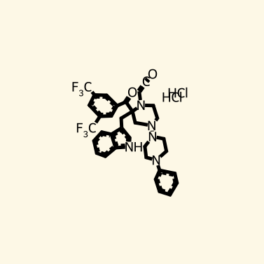 Cl.Cl.O=C=CN1CCN(N2CCN(c3ccccc3)CC2)CC1(Cc1c[nH]c2ccccc12)C(=O)c1cc(C(F)(F)F)cc(C(F)(F)F)c1